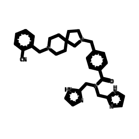 N#Cc1ccccc1CN1CCC2(CC1)CCN(Cc1ccc(C(=O)N(Cc3ncc[nH]3)Cc3ncc[nH]3)cc1)C2